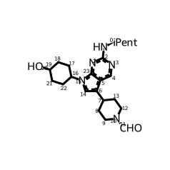 CCC[C@H](C)Nc1ncc2c(C3CCN(C=O)CC3)cn(C3CCC(O)CC3)c2n1